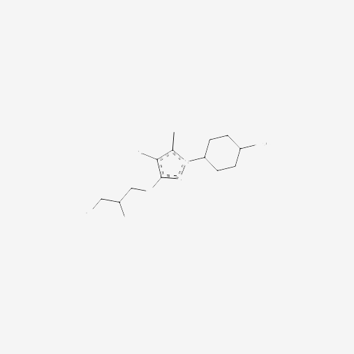 COC1CCC(n2nc(OCC(F)CO)c([N+](=O)[O-])c2C)CC1